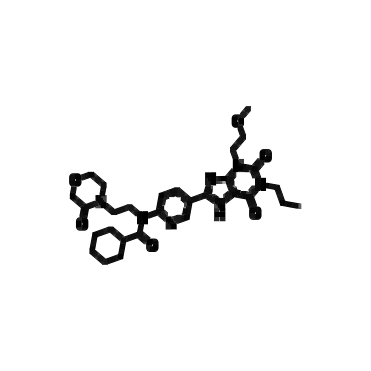 CCCn1c(=O)c2[nH]c(-c3ccc(N(CCN4CCOCC4=O)C(=O)C4CCCCC4)nc3)nc2n(CCOC)c1=O